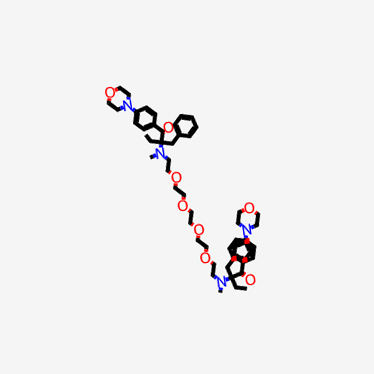 CCC(Cc1ccccc1)(C(=O)c1ccc(N2CCOCC2)cc1)N(C)CCOCCOCCOCCOCCN(C)C(CC)(Cc1ccccc1)C(=O)c1ccc(N2CCOCC2)cc1